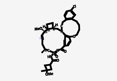 CO[C@H]1/C=C/C[C@H](C)CS(=O)(NC(=O)C2CC(C)(OC)C2)=NC(=O)c2ccc3c(c2)N(CCc2ccc(Cl)cc2CCCCO3)C[C@@H]2CC[C@H]21